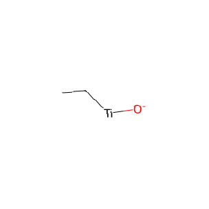 C[CH2][Ti][O-]